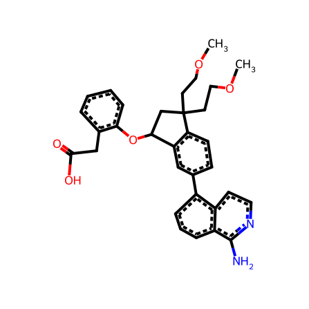 COCCC1(CCOC)CC(Oc2ccccc2CC(=O)O)c2cc(-c3cccc4c(N)nccc34)ccc21